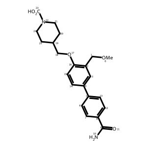 COCc1cc(-c2ccc(C(N)=O)cc2)ccc1OCC1CCN(C(=O)O)CC1